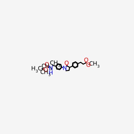 COC(=O)CCc1ccc(C2CCN(c3ccc(C(C)NC(=O)OC(C)(C)C)cc3)C2=O)cc1